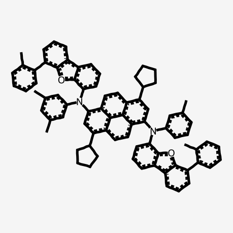 Cc1cccc(N(c2cc(C3CCCC3)c3ccc4c(N(c5cc(C)cc(C)c5)c5cccc6c5oc5c(-c7ccccc7C)cccc56)cc(C5CCCC5)c5ccc2c3c54)c2cccc3c2oc2c(-c4ccccc4C)cccc23)c1